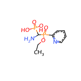 CCOP(=O)(c1ccccn1)C(N)P(=O)(O)O